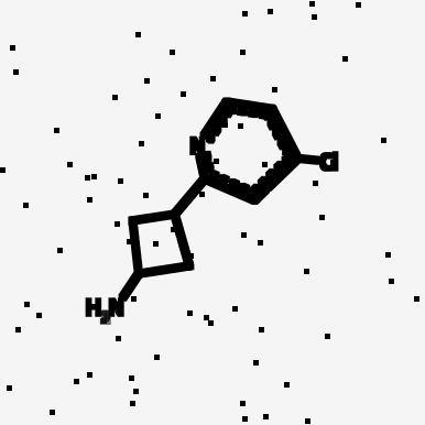 NC1CC(c2cc(Cl)ccn2)C1